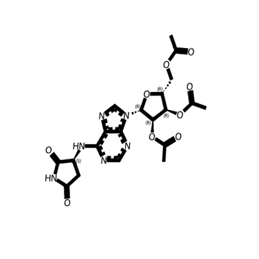 CC(=O)OC[C@H]1O[C@@H](n2cnc3c(N[C@H]4CC(=O)NC4=O)ncnc32)[C@H](OC(C)=O)[C@@H]1OC(C)=O